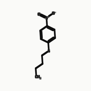 CCCCSc1ccc([N+](=O)[O-])cc1